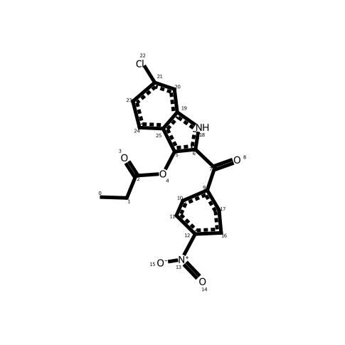 CCC(=O)Oc1c(C(=O)c2ccc([N+](=O)[O-])cc2)[nH]c2cc(Cl)ccc12